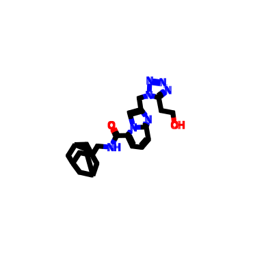 O=C(NCC12CC3CC(CC(C3)C1)C2)c1cccc2nc(Cn3nnnc3CCO)cn12